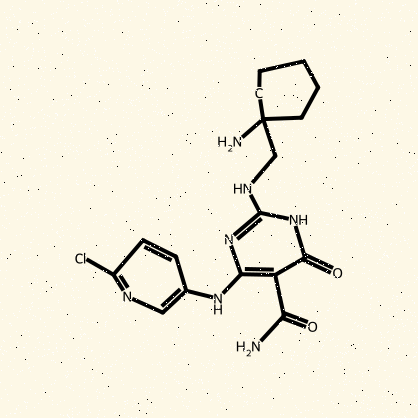 NC(=O)c1c(Nc2ccc(Cl)nc2)nc(NCC2(N)CCCCC2)[nH]c1=O